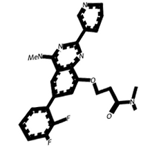 CNc1nc(-c2cccnc2)nc2c(OCCC(=O)N(C)C)cc(-c3cccc(F)c3F)cc12